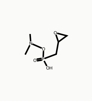 CN(C)OP(=O)(O)CC1CO1